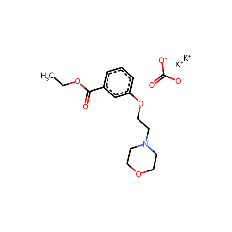 CCOC(=O)c1cccc(OCCN2CCOCC2)c1.O=C([O-])[O-].[K+].[K+]